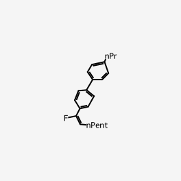 CCCCC/C=C(/F)c1ccc(-c2ccc(CCC)cc2)cc1